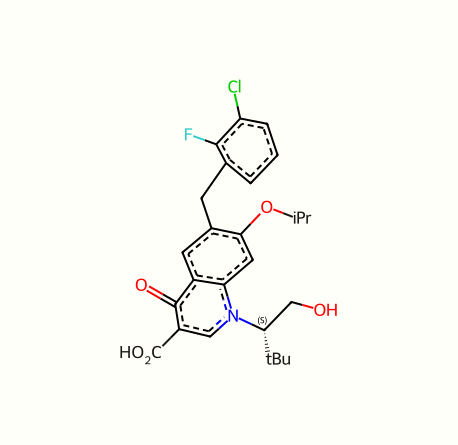 CC(C)Oc1cc2c(cc1Cc1cccc(Cl)c1F)c(=O)c(C(=O)O)cn2[C@H](CO)C(C)(C)C